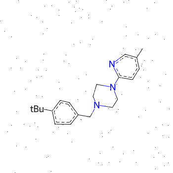 Cc1ccc(N2CCN(Cc3ccc(C(C)(C)C)cc3)CC2)nc1